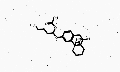 CCCCC(OC(=O)O)Oc1ccc2c(c1)[C@@]13CCCC[C@H]1[C@@H](C2)NCC3